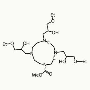 CCOCC(O)CN1CCN(CC(O)COCC)CCN(C(=O)OC)CCN(CC(O)COCC)CC1